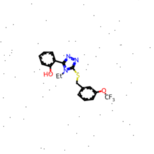 CCn1c(SCc2cccc(OC(F)(F)F)c2)nnc1-c1ccccc1O